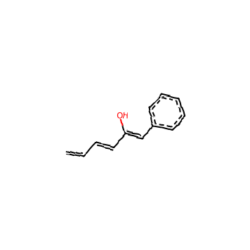 C=CC=CC(O)=Cc1ccccc1